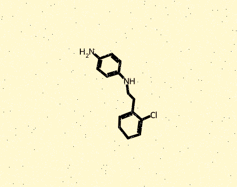 Nc1ccc(NCCC2=CCCC=C2Cl)cc1